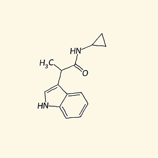 CC(C(=O)NC1CC1)c1c[nH]c2ccccc12